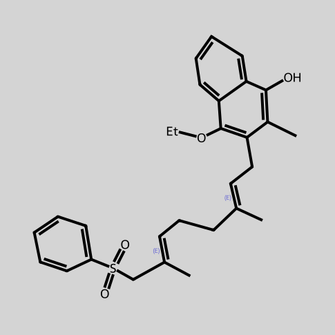 CCOc1c(C/C=C(\C)CC/C=C(\C)CS(=O)(=O)c2ccccc2)c(C)c(O)c2ccccc12